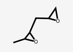 CC1OC1CC1CO1